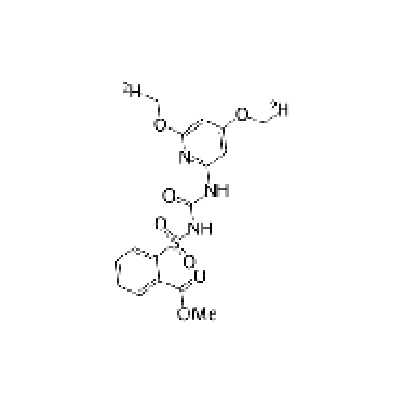 [2H]COc1cc(NC(=O)NS(=O)(=O)c2ccccc2C(=O)OC)nc(OC[2H])c1